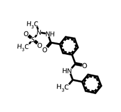 CC(NC(=O)c1cccc(C(=O)NN(C)S(C)(=O)=O)c1)c1ccccc1